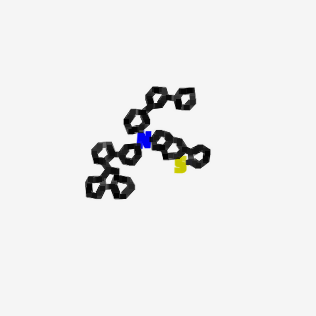 c1ccc(-c2cccc(-c3cccc(N(c4cccc(-c5ccccc5-c5cc6ccccc6c6ccccc56)c4)c4ccc5cc6c(cc5c4)sc4ccccc46)c3)c2)cc1